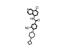 N#Cc1cc(C(=O)Nc2ccc(Cl)c3cnccc23)ccc1N1CCN(C2CCC2)CC1